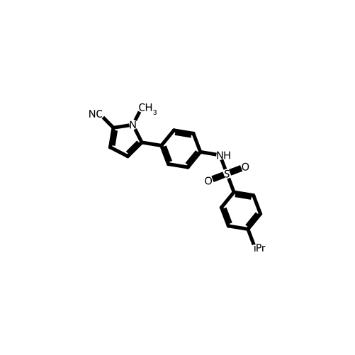 CC(C)c1ccc(S(=O)(=O)Nc2ccc(-c3ccc(C#N)n3C)cc2)cc1